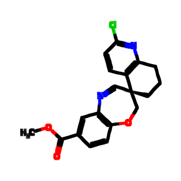 COC(=O)c1ccc2c(c1)N=C[C@@]1(CCCc3nc(Cl)ccc31)CO2